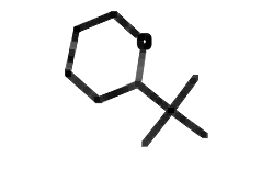 CC(C)(C)C1CCCCO1